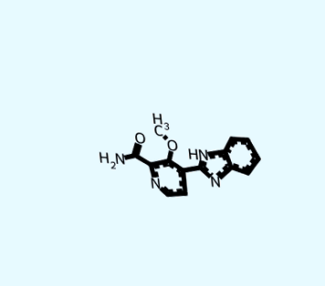 COc1c(-c2nc3ccccc3[nH]2)ccnc1C(N)=O